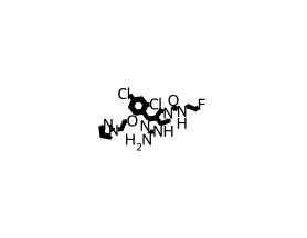 NC1=NC(c2c(Cl)cc(Cl)cc2OCCn2cccn2)=C2CN(C(=O)NCCF)CC2N1